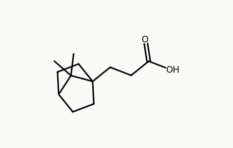 CC1(C)C2CCC1(CCC(=O)O)CC2